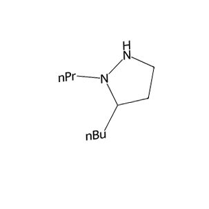 CCCCC1CCNN1CCC